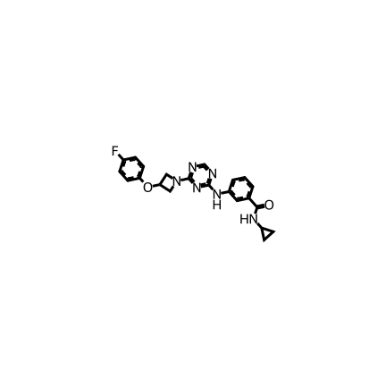 O=C(NC1CC1)c1cccc(Nc2ncnc(N3CC(Oc4ccc(F)cc4)C3)n2)c1